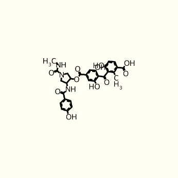 CNC(=O)N1CC(NC(=O)c2ccc(O)cc2)C(OC(=O)c2cc(O)c(C(=O)c3c(O)ccc(C(=O)O)c3C)c(O)c2)C1